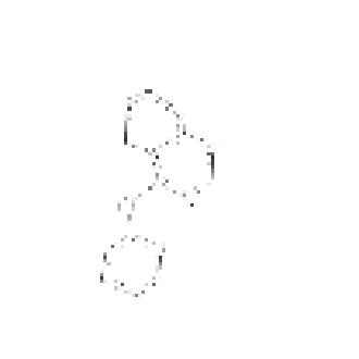 c1ccc(Nc2ncnc3ccccc23)nc1